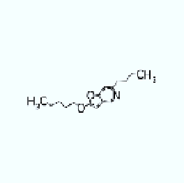 CCCCCOc1cc2cnc(CCCC)cc2o1